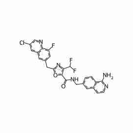 Nc1nccc2cc(CNC(=O)c3oc(Cc4cc(F)c5ncc(Cl)cc5c4)nc3C(F)F)ccc12